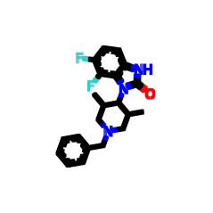 CC1CN(Cc2ccccc2)CC(C)C1n1c(=O)[nH]c2ccc(F)c(F)c21